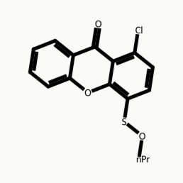 CCCOSc1ccc(Cl)c2c(=O)c3ccccc3oc12